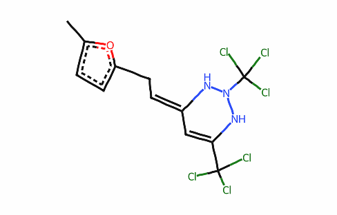 Cc1ccc(CC=C2C=C(C(Cl)(Cl)Cl)NN(C(Cl)(Cl)Cl)N2)o1